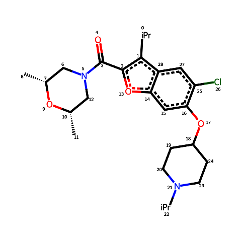 CC(C)c1c(C(=O)N2C[C@@H](C)O[C@@H](C)C2)oc2cc(OC3CCN(C(C)C)CC3)c(Cl)cc12